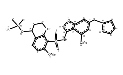 COc1ccc2c(c1S(=O)(=O)Nc1noc3cc(Cn4cccn4)cc(OC)c13)OCCC2O[Si](C)(C)C(C)(C)C